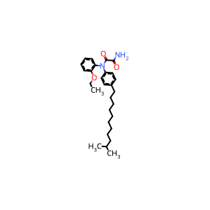 CCOc1ccccc1N(C(=O)C(N)=O)c1ccc(CCCCCCCCCC(C)C)cc1